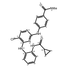 CNC(=O)c1ccc(Nc2ncc(Cl)c(Nc3ccccc3NC(=O)C3CC3)n2)cc1